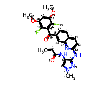 C=CC(=O)Nc1cn(C)nc1Nc1ccc2ccc(C(=O)c3c(F)c(OC)cc(OC)c3F)cc2n1